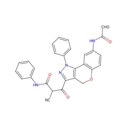 N#CC(C(=O)Nc1ccccc1)C(=O)c1nn(-c2ccccc2)c2c1COc1ccc(NC(=O)C=O)cc1-2